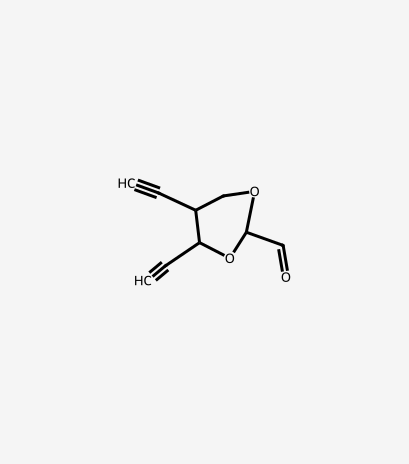 C#CC1COC(C=O)OC1C#C